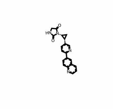 O=C1CNC(=O)N1[C@@H]1C[C@H]1c1ccc(-c2ccc3ncccc3c2)nc1